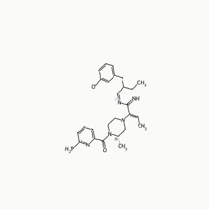 CC=C(C(=N)/N=C\C(CC)Cc1cccc(Cl)c1)N1CCN(C(=O)c2cccc(P)n2)[C@@H](C)C1